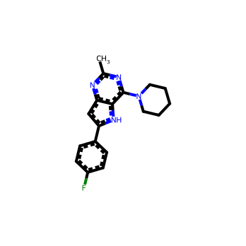 Cc1nc(N2CCCCC2)c2[nH]c(-c3ccc(F)cc3)cc2n1